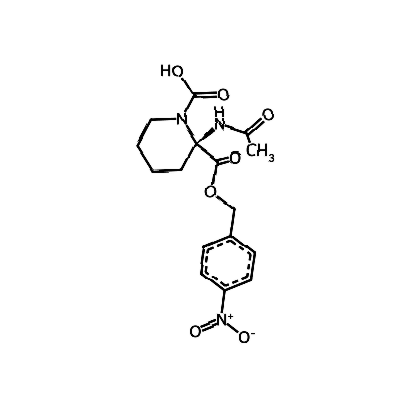 CC(=O)N[C@@]1(C(=O)OCc2ccc([N+](=O)[O-])cc2)CCCCN1C(=O)O